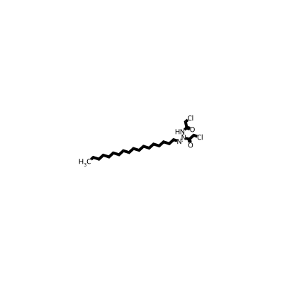 CCCCCCCCCCCCCCCCCC[N]N(NC(=O)CCl)C(=O)CCl